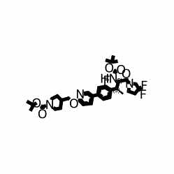 CC(C)OC(=O)N1CCC(COc2ccc(-c3ccc([C@H](C)[C@H](NC(=O)OC(C)(C)C)C(=O)N4CCC(F)(F)C4)c(F)c3)cn2)CC1